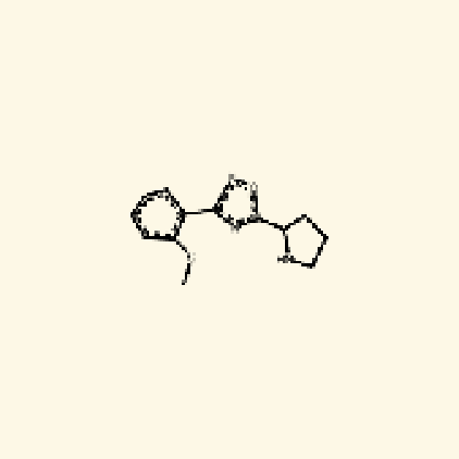 COc1ccccc1-c1noc(C2CCCN2)n1